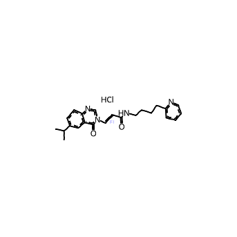 CC(C)c1ccc2ncn(/C=C/C(=O)NCCCCc3ccccn3)c(=O)c2c1.Cl